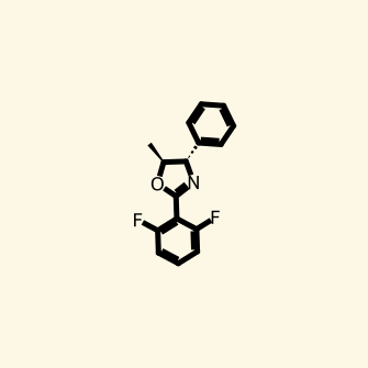 C[C@@H]1OC(c2c(F)cccc2F)=N[C@H]1c1ccccc1